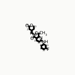 CC(C)c1nc(Nc2cccc(F)c2)ccc1C(=O)NCC1CCOC(=O)C1